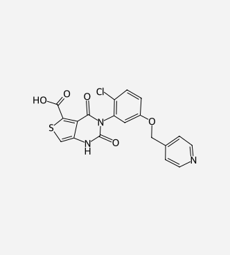 O=C(O)c1scc2[nH]c(=O)n(-c3cc(OCc4ccncc4)ccc3Cl)c(=O)c12